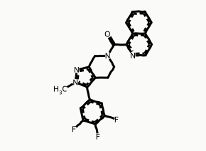 Cn1nc2c(c1-c1cc(F)c(F)c(F)c1)CCN(C(=O)c1nccc3ccccc13)C2